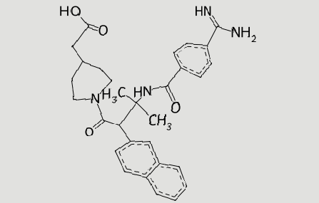 CC(C)(NC(=O)c1ccc(C(=N)N)cc1)C(C(=O)N1CCC(CC(=O)O)CC1)c1ccc2ccccc2c1